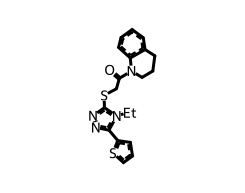 CCn1c(SCC(=O)N2CCCc3ccccc32)nnc1-c1cccs1